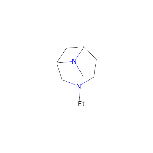 CCN1CCC2CC(C1)N2C